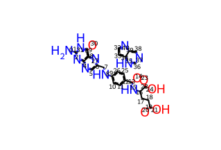 Nc1nc2ncc(CNc3ccc(C(=O)NC(CCC(=O)O)C(=O)O)cc3)nc2c(=O)[nH]1.c1cc2[nH]cncc-2n1